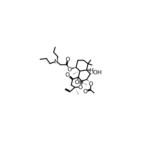 C=C[C@@]1(C)CC(=O)[C@]2(O)[C@@]3(C)[C@@H](OC(=O)CN(CCC)CCC)CCC(C)(C)[C@@H]3[C@H](O)[C@H](OC(C)=O)[C@@]2(C)O1